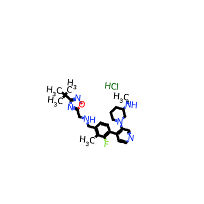 CNC1CCCN(c2cnccc2-c2ccc(CNCc3nc(C(C)(C)C)no3)c(C)c2F)C1.Cl